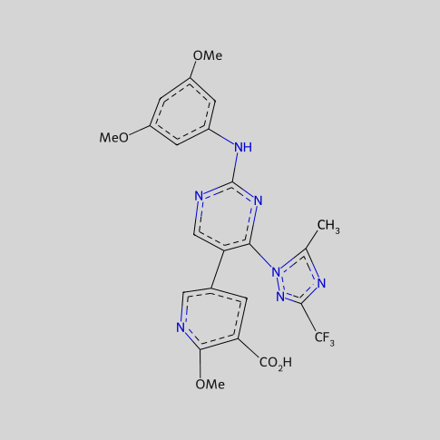 COc1cc(Nc2ncc(-c3cnc(OC)c(C(=O)O)c3)c(-n3nc(C(F)(F)F)nc3C)n2)cc(OC)c1